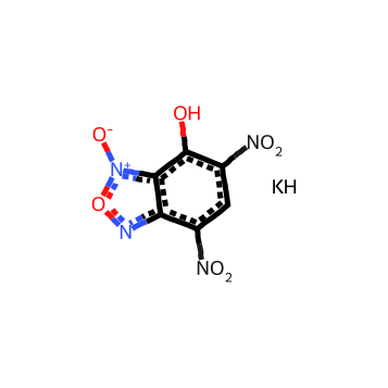 O=[N+]([O-])c1cc([N+](=O)[O-])c2no[n+]([O-])c2c1O.[KH]